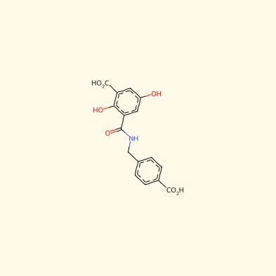 O=C(O)c1ccc(CNC(=O)c2cc(O)cc(C(=O)O)c2O)cc1